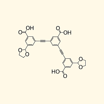 O=C(O)c1cc(C#Cc2cc(C(=O)O)cc(C3OCCO3)c2)cc(C#Cc2cc(C(=O)O)cc(C3OCCO3)c2)c1